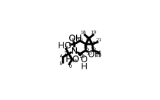 CCC(C)(CC)N1C(O)(O)CC2(C(O)C1(O)O)C(C)(C)C2(C)CC